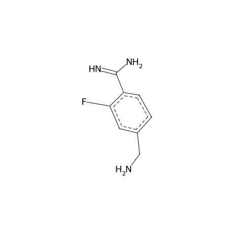 N=C(N)c1ccc(CN)cc1F